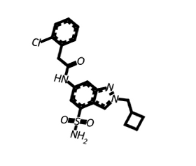 NS(=O)(=O)c1cc(NC(=O)Cc2ccccc2Cl)cc2nn(CC3CCC3)cc12